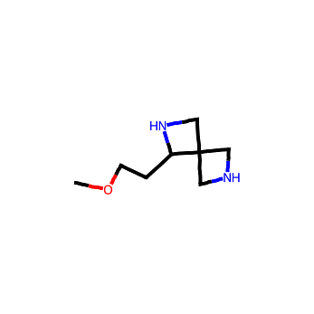 COCCC1NCC12CNC2